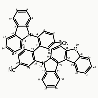 N#Cc1ccc(-n2c3ccccc3c3ccccc32)c(-c2ccc(C#N)cc2-n2c3ccccc3c3c4c(ccc32)oc2ccccc24)c1